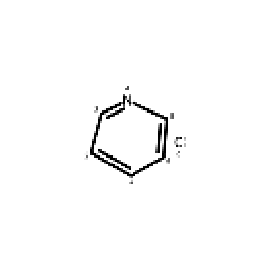 [C].c1ccncc1